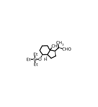 CC[Si](CC)(CC)O[C@H]1CCCC2(C)[C@@H]([C@@H](C)C=O)CC[C@@H]12